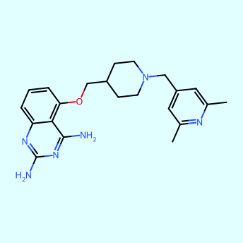 Cc1cc(CN2CCC(COc3cccc4nc(N)nc(N)c34)CC2)cc(C)n1